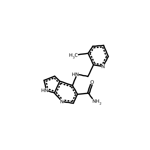 Cc1cccnc1CNc1c(C(N)=O)cnc2[nH]ccc12